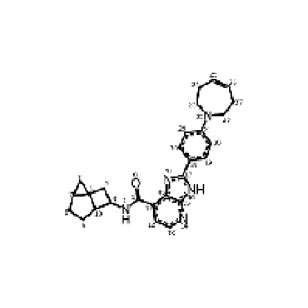 O=C(NC1CC23CC2CCC13)c1ccnc2[nH]c(-c3ccc(N4CCC=CCC4)cc3)nc12